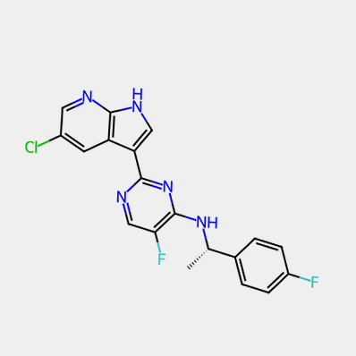 C[C@H](Nc1nc(-c2c[nH]c3ncc(Cl)cc23)ncc1F)c1ccc(F)cc1